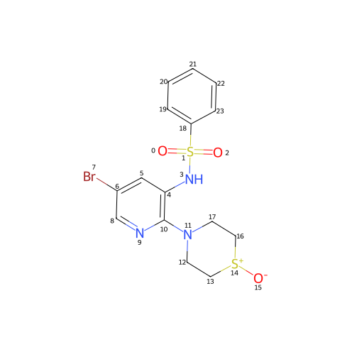 O=S(=O)(Nc1cc(Br)cnc1N1CC[S+]([O-])CC1)c1ccccc1